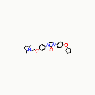 CC1CCC(C)N1CCOc1ccc(-n2ccn(-c3ccc(OC4CCCC4)cc3)c2=O)cc1